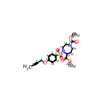 CC#CCOc1ccc(S(=O)(=O)N2CCN(C(=O)OC(C)(C)C)CCC2C(=O)OC(C)(C)C)cc1